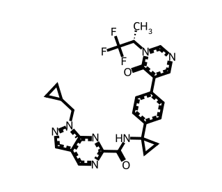 C[C@H](n1cncc(-c2ccc(C3(NC(=O)c4ncc5cnn(CC6CC6)c5n4)CC3)cc2)c1=O)C(F)(F)F